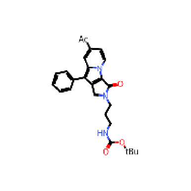 CC(=O)c1ccn2c3c(c(-c4ccccc4)c2c1)CN(CCCNC(=O)OC(C)(C)C)C3=O